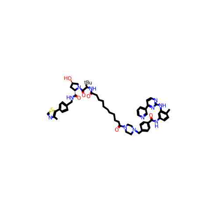 Cc1ccc(NC(=O)c2ccc(CN3CCN(C(=O)CCCCCCCCCC(=O)NC(C(=O)N4C[C@H](O)C[C@H]4C(=O)NCc4ccc(-c5scnc5C)cc4)C(C)(C)C)CC3)cc2)cc1Nc1nccc(-c2cccnc2)n1